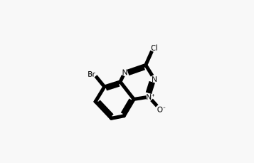 [O-][n+]1nc(Cl)nc2c(Br)cccc21